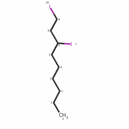 CCCCCCC(I)CCI